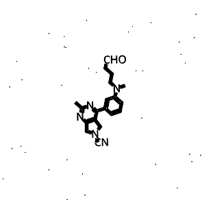 Cc1nc2c(c(-c3cccc(N(C)CCCC=O)c3)n1)CN(C#N)C2